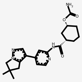 CC1(C)Cc2c(-c3ccnc(NC(=O)[C@H]4CCC[C@@H](OC(N)=O)C4)c3)cnn2C1